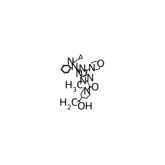 C=C(O)C1CCN(C(=O)c2nc3c(N4CCOCC4)nc(-n4c(C5CC5)nc5ccccc54)nc3n2C)CC1